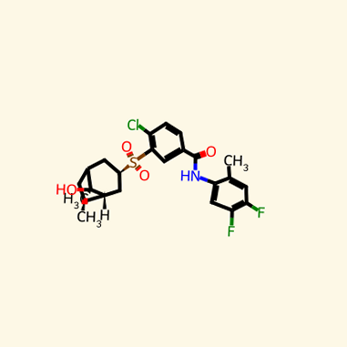 Cc1cc(F)c(F)cc1NC(=O)c1ccc(Cl)c(S(=O)(=O)[C@@H]2CC3C[C@H](C)[C@@H](C2)[C@]3(C)O)c1